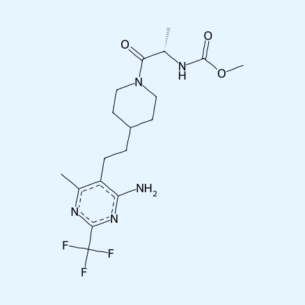 COC(=O)N[C@@H](C)C(=O)N1CCC(CCc2c(C)nc(C(F)(F)F)nc2N)CC1